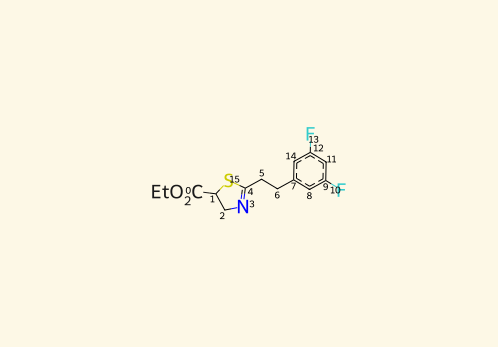 CCOC(=O)C1CN=C(CCc2cc(F)cc(F)c2)S1